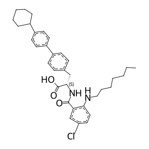 CCCCCCCNc1ccc(Cl)cc1C(=O)N[C@@H](Cc1ccc(-c2ccc(C3CCCCC3)cc2)cc1)C(=O)O